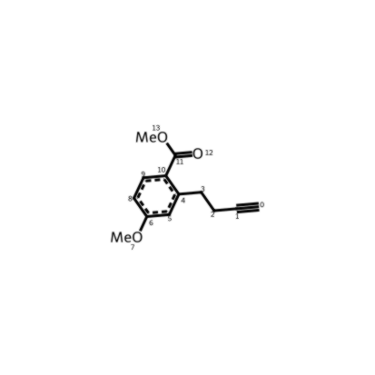 C#CCCc1cc(OC)ccc1C(=O)OC